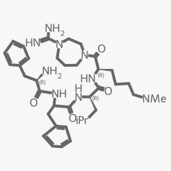 CNCCCC[C@@H](NC(=O)[C@@H](CC(C)C)NC(=O)C(Cc1ccccc1)NC(=O)[C@H](N)Cc1ccccc1)C(=O)N1CCCN(C(=N)N)CC1